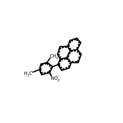 Cc1cc(C)c(-c2ccc3ccc4cccc5ccc2c3c45)c([N+](=O)[O-])c1